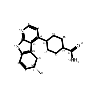 C[C@@H]1C=Cc2sc3nccc(C4CCC(C(N)=O)CC4)c3c2C1